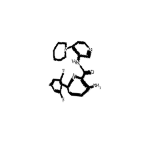 Nc1ccc(-c2c(F)cccc2F)nc1C(=O)Nc1cnccc1N1CCCCCC1